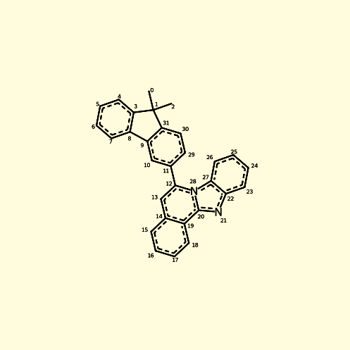 CC1(C)c2ccccc2-c2cc(-c3cc4ccccc4c4nc5ccccc5n34)ccc21